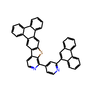 c1ccc2c(c1)cc(-c1cc(-c3nccc4c3sc3cc5c6ccccc6c6ccccc6c5cc34)ccn1)c1ccccc12